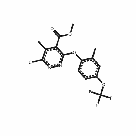 COC(=O)c1c(Oc2ccc(OC(F)(F)F)cc2C)nnc(Cl)c1C